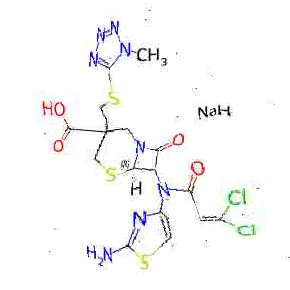 Cn1nnnc1SCC1(C(=O)O)CS[C@@H]2C(N(C(=O)C=C(Cl)Cl)c3csc(N)n3)C(=O)N2C1.[NaH]